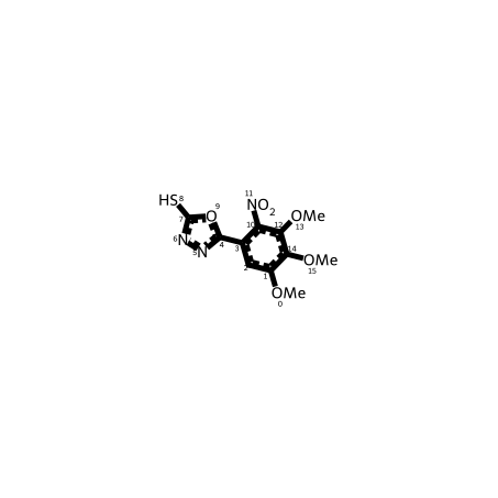 COc1cc(-c2nnc(S)o2)c([N+](=O)[O-])c(OC)c1OC